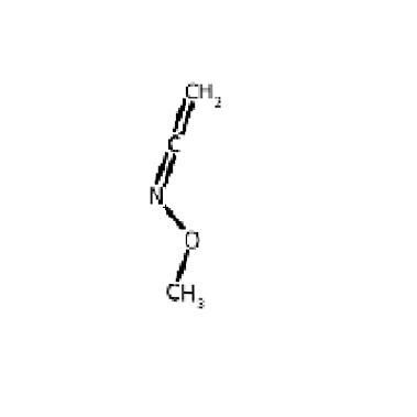 C=C=NOC